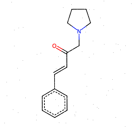 O=C(C=Cc1ccccc1)CN1CCCC1